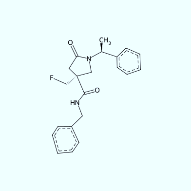 C[C@@H](c1ccccc1)N1C[C@@](CF)(C(=O)NCc2ccccc2)CC1=O